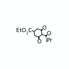 CCOC(=O)C1CC(=O)C(C(=O)C(C)C)C(=O)C1